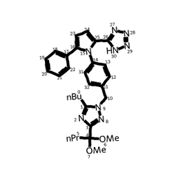 CCCCc1nc(C(CCC)(OC)OC)nn1Cc1ccc(-n2c(-c3ccccc3)ccc2-c2nnn[nH]2)cc1